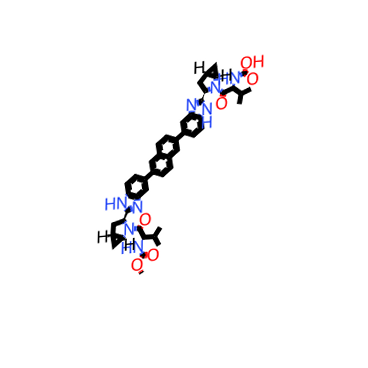 COC(=O)N[C@H](C(=O)N1[C@@H]2C[C@@H]2C[C@H]1c1nc2cc(-c3ccc4cc(-c5ccc6[nH]c([C@@H]7C[C@H]8C[C@H]8N7C(=O)[C@@H](NC(=O)O)C(C)C)nc6c5)ccc4c3)ccc2[nH]1)C(C)C